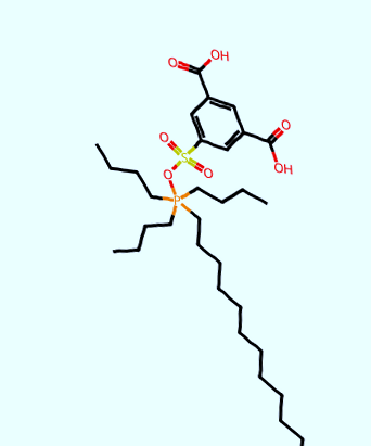 CCCCCCCCCCCCP(CCCC)(CCCC)(CCCC)OS(=O)(=O)c1cc(C(=O)O)cc(C(=O)O)c1